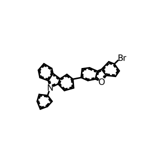 Brc1ccc2oc3cc(-c4ccc5c(c4)c4ccccc4n5-c4ccccc4)ccc3c2c1